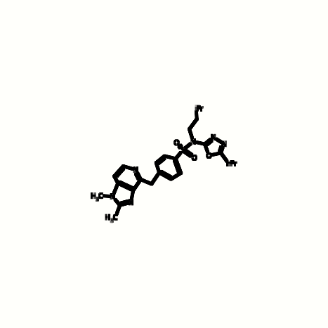 CCCc1nnc(N(CCC(C)C)S(=O)(=O)c2ccc(Cc3nccc4c3nc(C)n4C)cc2)o1